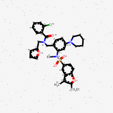 CCOC(=O)c1oc2ccc(S(=O)(=O)N(CC)c3cc(N4CCCCC4)ccc3CN(Cc3ccco3)C(=O)c3ccccc3Cl)cc2c1C